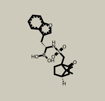 CC1(C)[C@@H]2CCC1(CS(=O)(=O)N[C@@H](Cc1coc3ccccc13)B(O)O)C(=O)C2